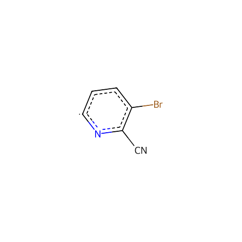 N#Cc1n[c]ccc1Br